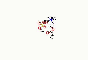 C=CC(=O)OCC[N+](C)(CC)CC.COS(=O)(=O)O